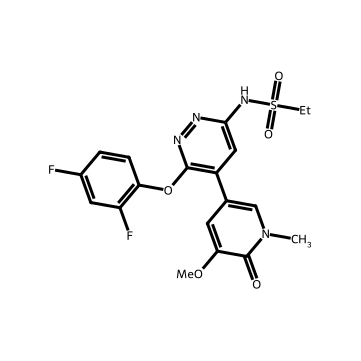 CCS(=O)(=O)Nc1cc(-c2cc(OC)c(=O)n(C)c2)c(Oc2ccc(F)cc2F)nn1